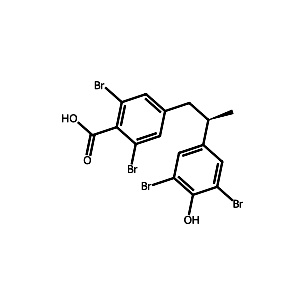 C[C@H](Cc1cc(Br)c(C(=O)O)c(Br)c1)c1cc(Br)c(O)c(Br)c1